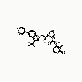 CC(=O)c1cn(CC(=O)N2C[C@H](F)C[C@H]2C(=O)Nc2ccnc(=O)n2C)c2ccc(-c3ccnnc3)cc12